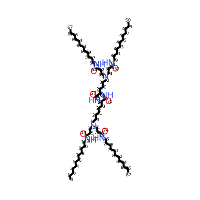 CCCCCCCCCCCCNC(=O)CCN(CCCCCCC1NC(=O)C(CCCCN(CCC(=O)NCCCCCCCCCCCC)CCC(=O)NCCCCCCCCCCCC)NC1=O)CCC(=O)NCCCCCCCCCCCC